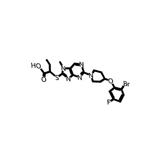 CCC(Sc1nc2nc(N3CCC(Oc4cc(F)ccc4Br)CC3)ncc2n1C)C(=O)O